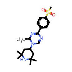 CC1(C)CC(N2C=NC(c3ccc(S(C)(=O)=O)cc3)=NC2C(Cl)(Cl)Cl)CC(C)(C)N1